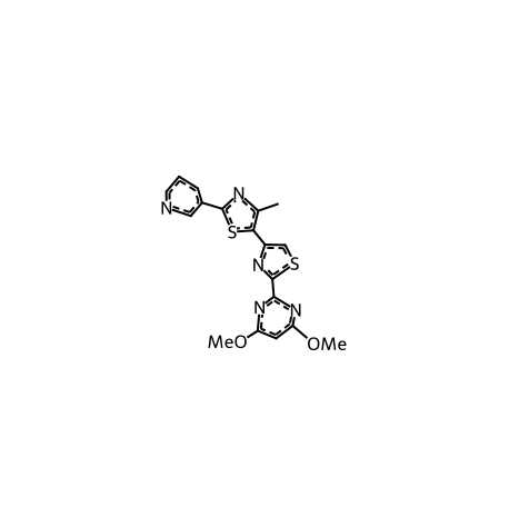 COc1cc(OC)nc(-c2nc(-c3sc(-c4cccnc4)nc3C)cs2)n1